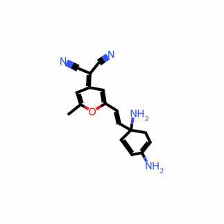 CC1=CC(=C(C#N)C#N)C=C(C=CC2(N)C=CC(N)=CC2)O1